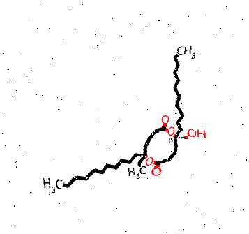 CCCCCCCCCCC[C@@]1(CC)CCCC(=O)O[C@@](CO)(CCCCCCCCCCC)CCCC(=O)O1